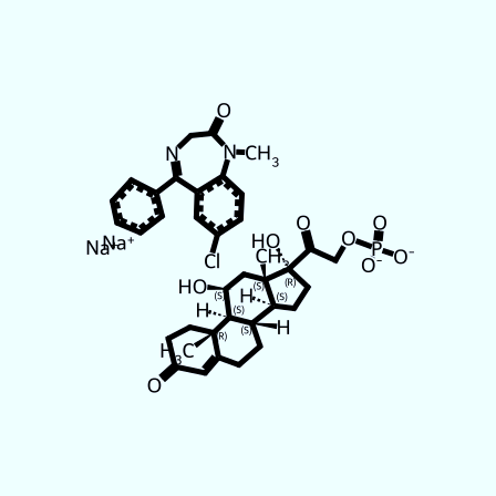 CN1C(=O)CN=C(c2ccccc2)c2cc(Cl)ccc21.C[C@]12CCC(=O)C=C1CC[C@@H]1[C@@H]2[C@@H](O)C[C@@]2(C)[C@H]1CC[C@]2(O)C(=O)COP(=O)([O-])[O-].[Na+].[Na+]